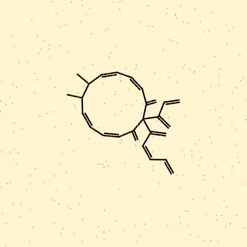 C=C/C=C\C(=C)C1(C(=C)C=C)C(=C)/C=C\C=C/C(C)C(C)/C=C\C=C/C1=C